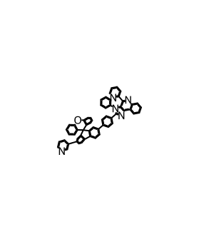 c1ccc(-n2c(-c3ccc(-c4ccc5c(c4)C4(c6ccccc6Oc6ccccc64)c4cc(-c6cccnc6)ccc4-5)cc3)nc3c4ccccc4nc(-c4ccccn4)c32)cc1